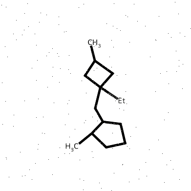 CCC1(CC2CCCC2C)CC(C)C1